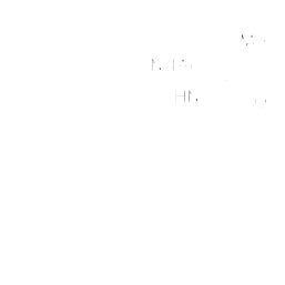 [CH2]C(CC(NC(C)=O)c1ccccc1)(NC(=O)OC)c1ccccc1